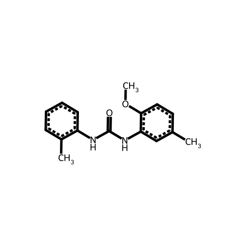 COc1ccc(C)cc1NC(=O)Nc1ccccc1C